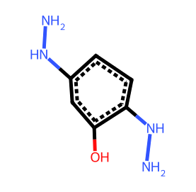 NNc1ccc(NN)c(O)c1